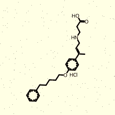 CC(=CCNCCC(=O)O)c1ccc(OCCCCCc2ccccc2)cc1.Cl